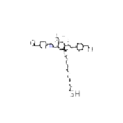 COc1cc(C=Cc2ccc(C=O)cc2)c(OCCCCCCCCCCCS)cc1/C=C/c1ccc(C=O)cc1